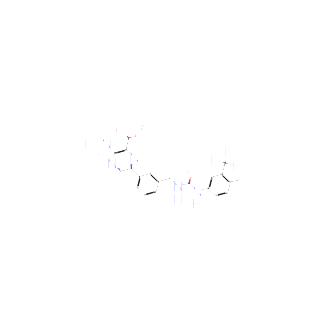 COC(=O)c1nc(-c2cccc(CNC(=O)Nc3ccc(Cl)c(C(F)(F)F)c3)c2)cnc1N